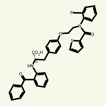 O=C(c1ccccc1)c1ccccc1N[C@@H](Cc1ccc(OCCN(C(=O)c2cccs2)c2ccccc2F)cc1)C(=O)O